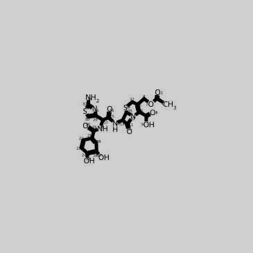 CC(=O)OCC1=C(C(=O)O)N2C(=O)C(NC(=O)C(NC(=O)c3ccc(O)c(O)c3)c3csc(N)n3)C2SC1